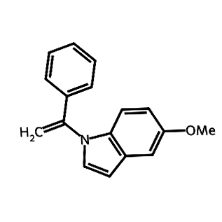 C=C(c1ccccc1)n1ccc2cc(OC)ccc21